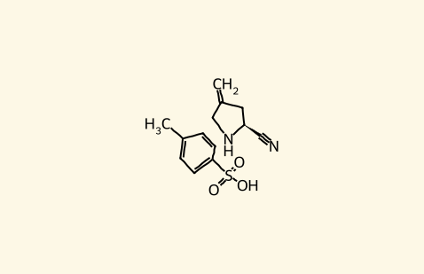 C=C1CN[C@H](C#N)C1.Cc1ccc(S(=O)(=O)O)cc1